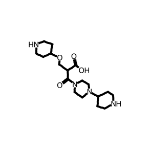 O=C(O)C(COC1CCNCC1)C(=O)N1CCN(C2CCNCC2)CC1